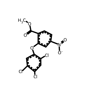 COC(=O)c1ccc([N+](=O)[O-])cc1Oc1cc(Cl)c(Cl)cc1Cl